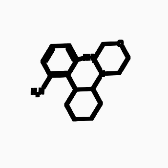 Nc1cccc(N)c1C1CCCCC1N1CCOCC1